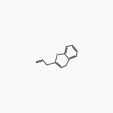 C=C[CH]C1=CCc2ccccc2O1